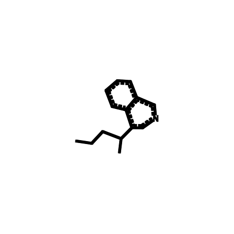 CCCC(C)c1cncc2ccccc12